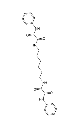 O=C(NCCCCCCNC(=O)C(=O)Nc1ccccc1)C(=O)Nc1ccccc1